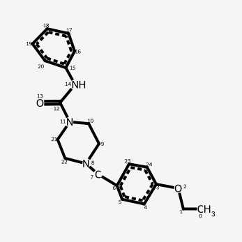 CCOc1ccc(CN2CCN(C(=O)Nc3ccccc3)CC2)cc1